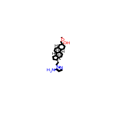 COC[C@@]1(O)CC[C@H]2[C@H](CC[C@@H]3[C@@H]2CC[C@]2(C)[C@@H](CCn4nccc4N)CC[C@@H]32)C1